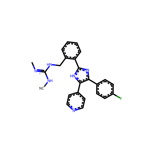 C/N=C(/NC#N)NCc1ccccc1-c1nc(-c2ccc(F)cc2)c(-c2ccncc2)[nH]1